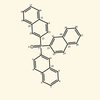 O=P(c1ccc2ccccc2c1)(c1ccc2ccccc2c1)c1ccc2ccccc2c1